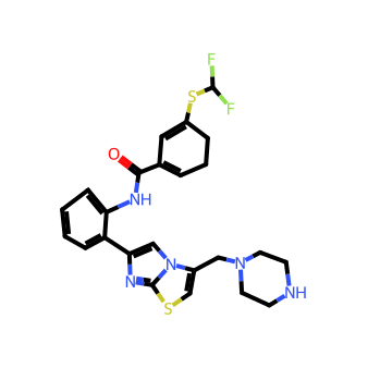 O=C(Nc1ccccc1-c1cn2c(CN3CCNCC3)csc2n1)C1=CCCC(SC(F)F)=C1